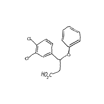 O=C(O)CC(Oc1ccccc1)c1ccc(Cl)c(Cl)c1